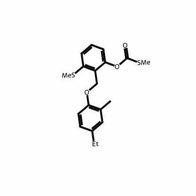 CCc1ccc(OCc2c(OC(=O)SC)cccc2SC)c(C)c1